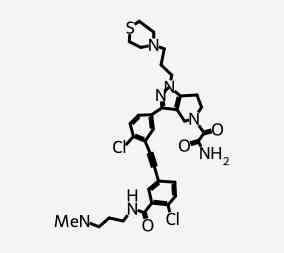 CNCCCNC(=O)c1cc(C#Cc2cc(-c3nn(CCCN4CCSCC4)c4c3CN(C(=O)C(N)=O)CC4)ccc2Cl)ccc1Cl